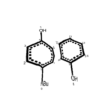 CCCCc1ccc(O)cc1.Oc1ccccc1